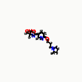 CC1CCCN1CCCOc1ccc(C2=NC(C)(CO)CO2)cn1